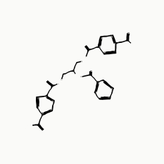 CC(=O)c1ccc(C(=O)OCC(COC(=O)c2ccc(C(C)=O)cc2)OC(=O)c2ccccc2)cc1